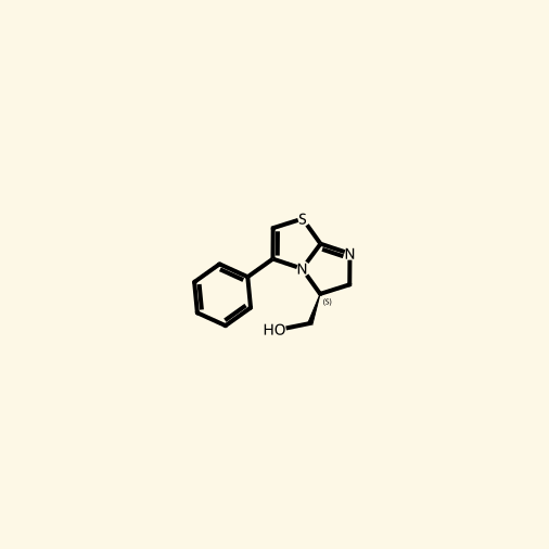 OC[C@@H]1CN=C2SC=C(c3ccccc3)N21